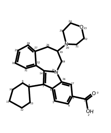 O=C(O)c1ccc2c(C3CCCCC3)c3n(c2c1)CC(N1CCOCC1)Cc1ccccc1-3